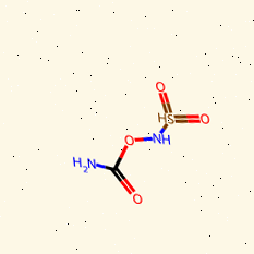 NC(=O)ON[SH](=O)=O